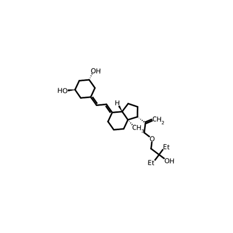 C=C(COCC(O)(CC)CC)[C@H]1CC[C@H]2/C(=C/C=C3C[C@@H](O)C[C@H](O)C3)CCC[C@]12C